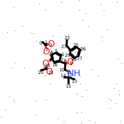 CC(=O)Oc1ccc(C(=O)CNC(C)(C)C)cc1OC(C)=O.CCc1ccccc1